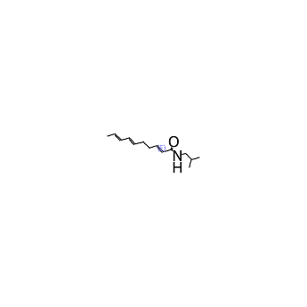 CC=CC=CCC/C=C/C(=O)NCC(C)C